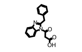 O=C(O)CC(=O)n1c(Cc2ccccc2)nc2ccccc21